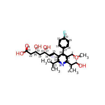 COCc1c(C(C)CO)nc(C(C)C)c(/C=C/[C@@H](O)C[C@@H](O)CC(=O)O)c1-c1ccc(F)cc1